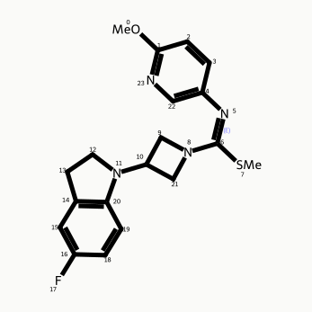 COc1ccc(/N=C(/SC)N2CC(N3CCc4cc(F)ccc43)C2)cn1